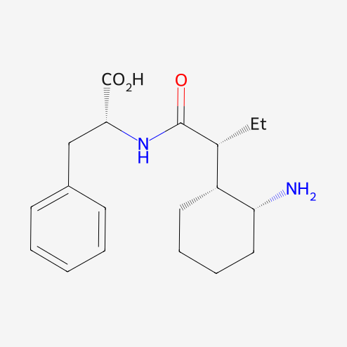 CC[C@@H](C(=O)N[C@H](Cc1ccccc1)C(=O)O)[C@H]1CCCC[C@H]1N